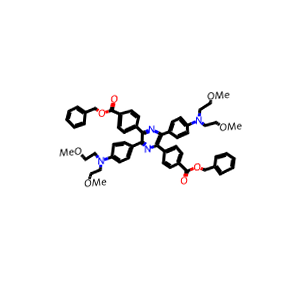 COCCN(CCOC)c1ccc(-c2nc(-c3ccc(C(=O)OCc4ccccc4)cc3)c(-c3ccc(N(CCOC)CCOC)cc3)nc2-c2ccc(C(=O)OCc3ccccc3)cc2)cc1